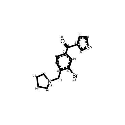 O=C(c1ccsc1)c1ccc(CN2CCCC2)c(Br)c1